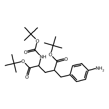 CC(C)(C)OC(=O)NC(CC(Cc1ccc(N)cc1)C(=O)OC(C)(C)C)C(=O)OC(C)(C)C